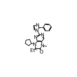 CC[C@@H]1C(=O)N(C)c2cnc(-n3ccnc3-c3ccccc3)nc2N1C1CCCC1